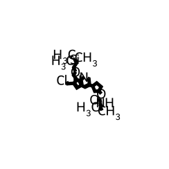 CC(C)NC(=O)OC1CCC(c2cnc3c(c2)cc(CCl)n3COCC[Si](C)(C)C)C1